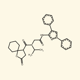 CC(C)N(CC(=O)Nc1nn(-c2ccccc2)cc1-c1ccccc1)C(=O)C1CC(=O)OC12CCCCC2